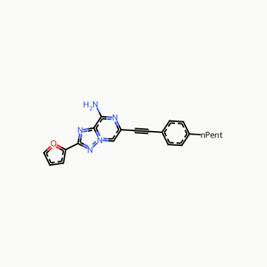 CCCCCc1ccc(C#Cc2cn3nc(-c4ccco4)nc3c(N)n2)cc1